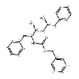 N[C@@H](Cc1ccccc1)C[C@H](O)[C@H](Cc1ccccc1)NC(=O)OCc1cncnc1